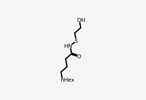 CCCCCCCCCC(=O)NSCCO